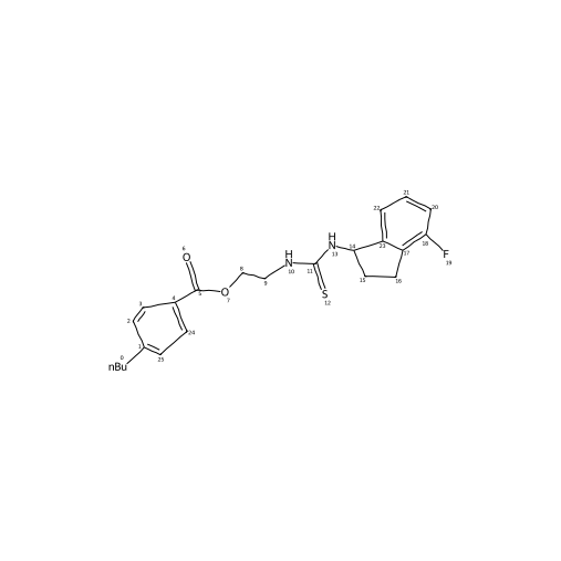 CCCCc1ccc(C(=O)OCCNC(=S)NC2CCc3c(F)cccc32)cc1